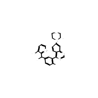 Fc1ccc(C(I)c2ncccc2Cl)cc1-c1ncnc2cc(N3CCOCC3)ccc12